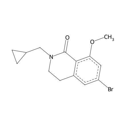 COc1cc(Br)cc2c1C(=O)N(CC1CC1)CC2